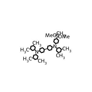 CO[Si](C)(OC)c1ccc(N(c2ccc(-c3ccc(N(c4cc(C)cc(C)c4)c4cc(C)cc(C)c4)cc3)cc2)c2cc(C)cc(C)c2)cc1